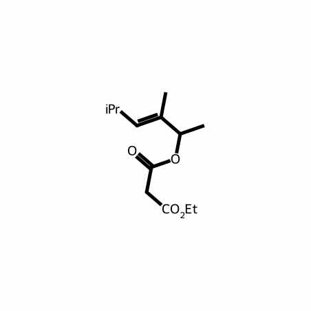 CCOC(=O)CC(=O)OC(C)C(C)=CC(C)C